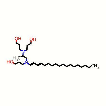 CCCCCCCCCCCCCCC=CC=CN(CCCO)CC(C)N(CCCO)CCCO